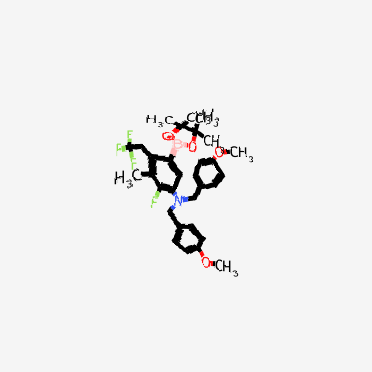 COc1ccc(CN(Cc2ccc(OC)cc2)c2cc(B3OC(C)(C)C(C)(C)O3)c(CC(F)(F)F)c(C)c2F)cc1